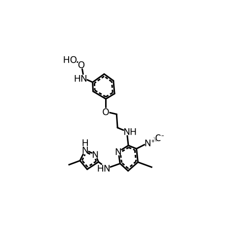 [C-]#[N+]c1c(C)cc(Nc2cc(C)[nH]n2)nc1NCCOc1cccc(NOO)c1